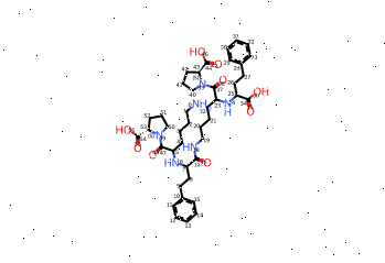 NCCCCC(NC(CCc1ccccc1)C(=O)NCCCCC(NC(CCc1ccccc1)C(=O)O)C(=O)N1CCC[C@H]1C(=O)O)C(=O)N1CCC[C@H]1C(=O)O